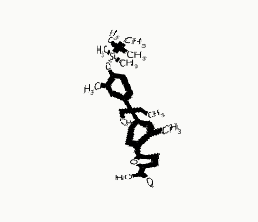 CCC(CC)(c1ccc(O[Si](C)(C)C(C)(C)C)c(C)c1)c1ccc(-c2ccc(C(=O)O)o2)c(C)c1